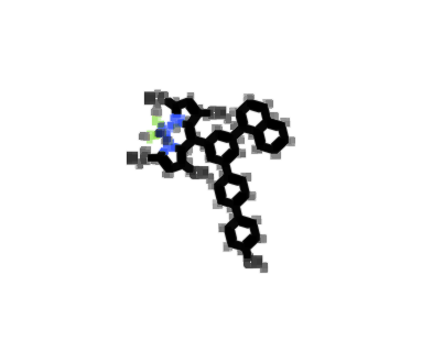 CC1=CC(C)=[N+]2C1=C(c1cc(-c3ccc(-c4ccc(C)cc4)cc3)cc(-c3cccc4ccccc34)c1)c1c(C)cc(C)n1[N+]2(F)F